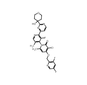 Cc1cnc(-c2ccnc(C3(O)CCOCC3)n2)c(F)c1-n1c(C)cc(OCc2ncc(F)cc2F)c(Cl)c1=O